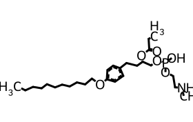 CCCCCCCCCCCOc1ccc(CCC(COP(O)OCCNC)OC(=O)CC)cc1